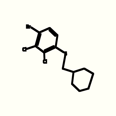 Clc1c(Br)ccc(SCC2CCCCC2)c1Cl